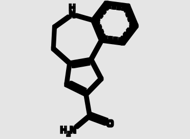 NC(=O)C1=CC2=C(C1)c1ccccc1NCC2